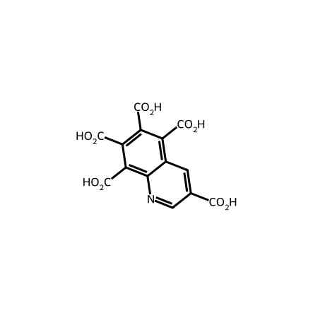 O=C(O)c1cnc2c(C(=O)O)c(C(=O)O)c(C(=O)O)c(C(=O)O)c2c1